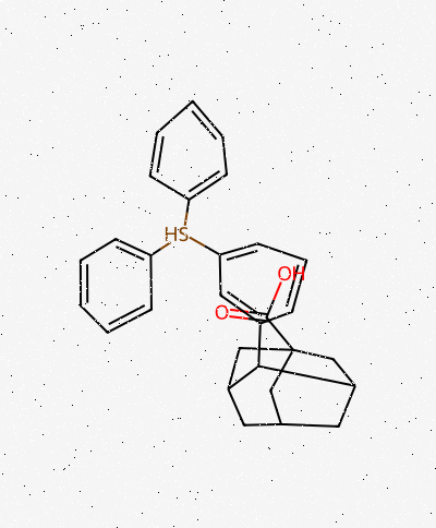 O=C(O)C12CC3CC(C1)C(c1cccc([SH](c4ccccc4)c4ccccc4)c1)C(C3)C2